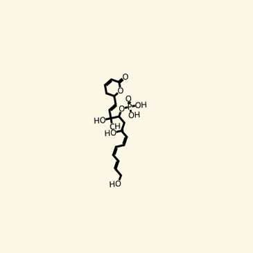 CC(O)(/C=C/C1CC=CC(=O)O1)C(CC(O)\C=C/C=C\C=C\CO)OP(=O)(O)O